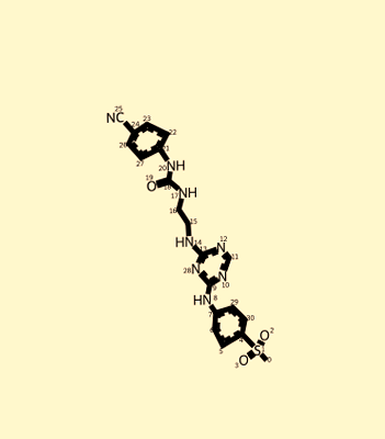 CS(=O)(=O)c1ccc(Nc2ncnc(NCCNC(=O)Nc3ccc(C#N)cc3)n2)cc1